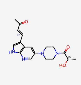 CC(=O)/C=C/c1c[nH]c2ncc(N3CCN(C(=O)[C@H](C)O)CC3)cc12